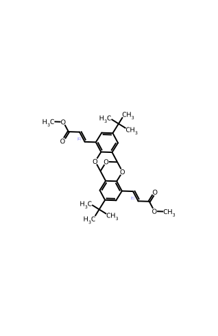 COC(=O)/C=C/c1cc(C(C)(C)C)cc2c1OC1OC2Oc2c(/C=C/C(=O)OC)cc(C(C)(C)C)cc21